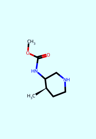 COC(=O)NC1CNCC[C@H]1C